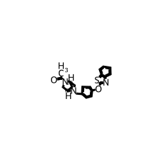 CC(=O)N1C[C@@H]2C[C@H]1CN2Cc1ccc(Oc2nc3ccccc3s2)cc1